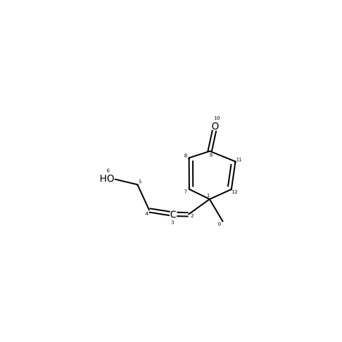 CC1(C=C=CCO)C=CC(=O)C=C1